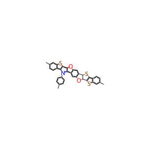 Cc1ccc(-n2c3c4cc5c(cc4oc3c3sc4cc(C)ccc4c32)C2Sc3c(sc4cc(C)ccc34)C2O5)cc1